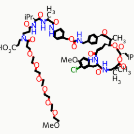 COCCOCCOCCOCCOCCOCCOCCC(=O)N(CCC(=O)O)CCC(=O)N[C@H](C(=O)N[C@@H](C)C(=O)Nc1ccc(COC(=O)NCc2ccc([C@H]3O[C@@H]3[C@@H](C)[C@@H]3C/C=C/C(=O)NC(Cc4ccc(OC)c(Cl)c4)C(=O)NCC(C)(C)C(=O)O[C@@H](CC(C)C)C(=O)O3)cc2)cc1)C(C)C